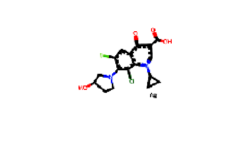 O=C(O)c1cn(C2CC2)c2c(Cl)c(N3CCC(O)C3)c(F)cc2c1=O.[Ag]